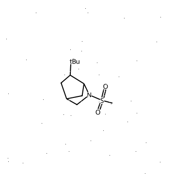 CC(C)(C)C1CC2CC1N(S(C)(=O)=O)C2